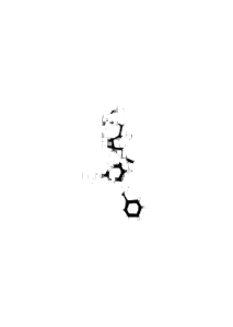 CC(C)O[P@@]1(=O)OC[C@H]2O[C@@H](n3cnc4c(OCc5ccccc5)nc(N)nc43)[C@](C)(F)[C@@H]2O1